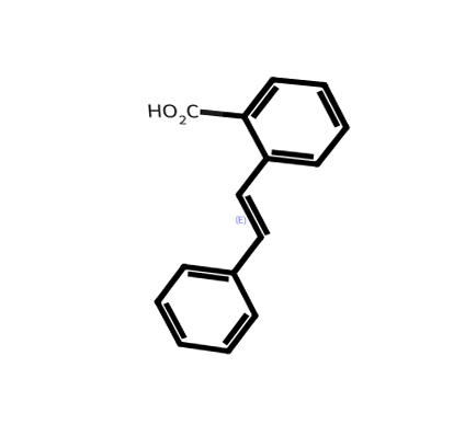 O=C(O)c1ccccc1/C=C/c1ccccc1